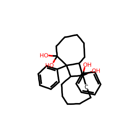 OC1(O)CCCCCCC1C1(c2ccccc2)C(c2ccccc2)CCCCCC1(O)O